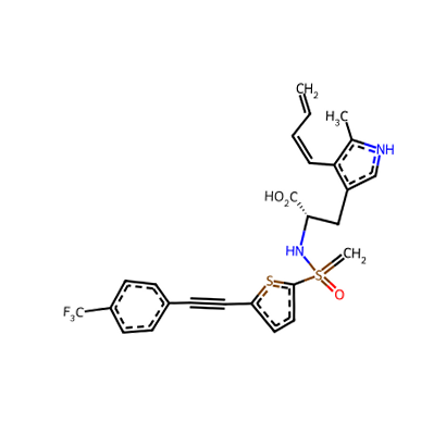 C=C/C=C\c1c(C[C@H](NS(=C)(=O)c2ccc(C#Cc3ccc(C(F)(F)F)cc3)s2)C(=O)O)c[nH]c1C